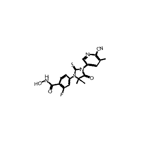 Cc1cc(N2C(=O)C(C)(C)N(c3ccc(C(=O)NO)c(F)c3)C2=S)cnc1C#N